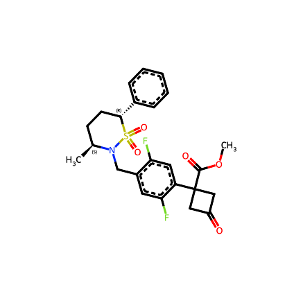 COC(=O)C1(c2cc(F)c(CN3[C@@H](C)CC[C@H](c4ccccc4)S3(=O)=O)cc2F)CC(=O)C1